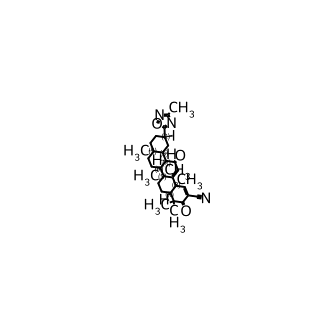 Cc1noc([C@@]2(I)CC[C@]3(C)CC[C@]4(C)[C@H](C(=O)C=C5[C@@]6(C)C=C(C#N)C(=O)C(C)(C)[C@@H]6CC[C@]54C)[C@@H]3C2)n1